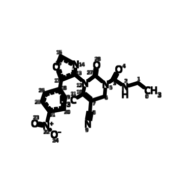 CCNC(=O)N1CC(C#N)=C(C)N(c2ncoc2-c2ccc([N+](=O)[O-])cc2)C1=O